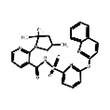 CC1CN(c2ncccc2C(=O)NS(=O)(=O)c2cccc(Oc3ccc4ccccc4n3)n2)C(C)(C)C1